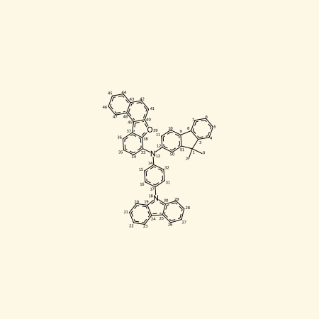 CC1(C)c2ccccc2-c2ccc(N(c3ccc(-n4c5ccccc5c5ccccc54)cc3)c3cccc4c3oc3ccc5ccccc5c34)cc21